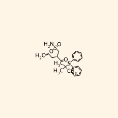 C=CC[C@H](CO[Si](c1ccccc1)(c1ccccc1)C(C)(C)C)CS(N)(=O)=O